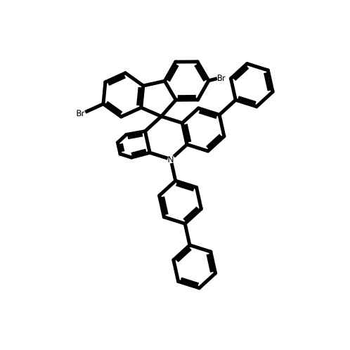 Brc1ccc2c(c1)C1(c3cc(Br)ccc3-2)c2ccccc2N(c2ccc(-c3ccccc3)cc2)c2ccc(-c3ccccc3)cc21